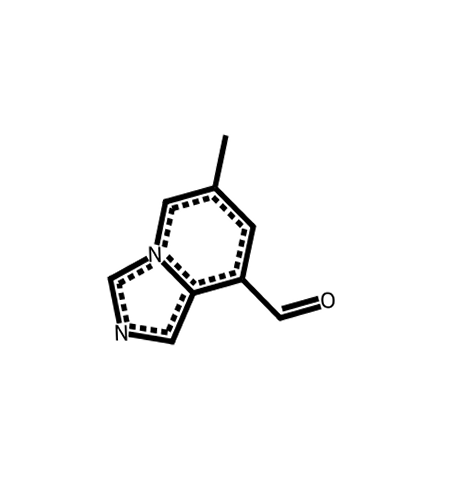 Cc1cc(C=O)c2cncn2c1